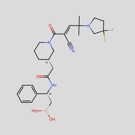 CC(C)(C=C(C#N)C(=O)N1CCC[C@@H](CC(=O)N[C@H](CB(O)O)c2ccccc2)C1)N1CCC(F)(F)C1